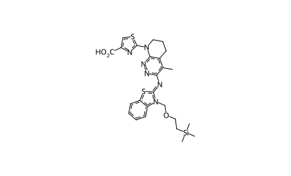 Cc1c(/N=c2\sc3ccccc3n2COCC[Si](C)(C)C)nnc2c1CCCN2c1nc(C(=O)O)cs1